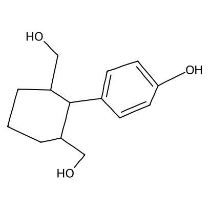 OCC1CCCC(CO)C1c1ccc(O)cc1